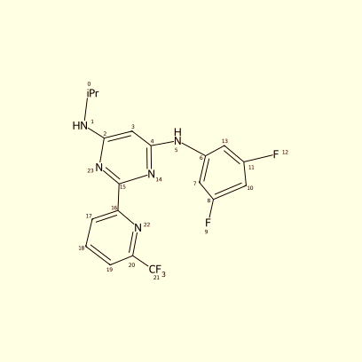 CC(C)Nc1cc(Nc2cc(F)cc(F)c2)nc(-c2cccc(C(F)(F)F)n2)n1